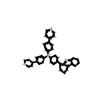 c1ccc2c(c1)sc1c(-c3ccc(N(c4ccc(-c5ccncc5)cc4)c4ccc(-c5ccncc5)cc4)cc3)cccc12